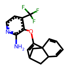 Nc1nccc(C(F)(F)F)c1OC1=CC2CC3C=CC=CC13C2